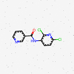 O=C(Nc1ccc(Cl)nc1Cl)c1cccnc1